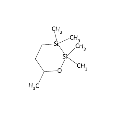 CC1CC[Si](C)(C)[Si](C)(C)O1